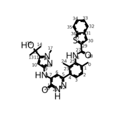 Cc1ccc(-c2cc(Nc3cc(C(C)(C)O)n(C)n3)c(=O)[nH]n2)c(C)c1NC(=O)c1cc2ccccc2s1